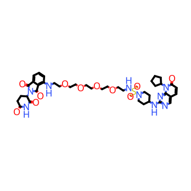 O=C1CCC(N2C(=O)c3cccc(NCCOCCOCCOCCOCCNS(=O)(=O)N4CCC(Nc5ncc6ccc(=O)n(C7CCCC7)c6n5)CC4)c3C2=O)C(=O)N1